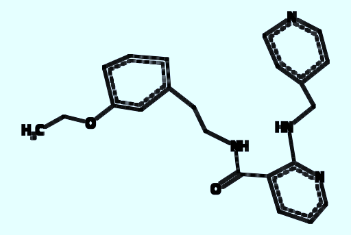 CCOc1cccc(CCNC(=O)c2cccnc2NCc2ccncc2)c1